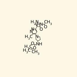 CC(=O)NC(=O)/C(=C\N)c1cc(N2CCC(NC(=O)OC(C)(C)C)C2)c(C)nn1